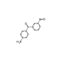 Bc1ccc(C(=O)c2cccc(N=O)c2)cc1